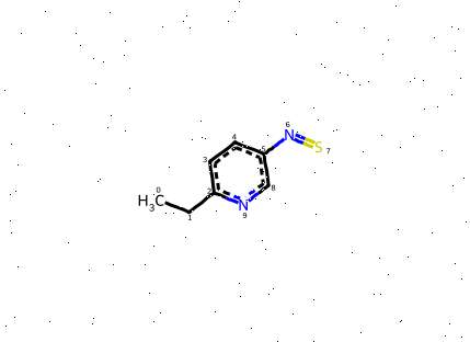 CCc1ccc(N=S)cn1